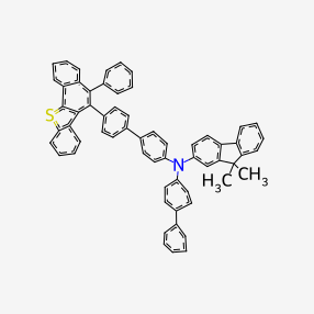 CC1(C)c2ccccc2-c2ccc(N(c3ccc(-c4ccccc4)cc3)c3ccc(-c4ccc(-c5c(-c6ccccc6)c6ccccc6c6sc7ccccc7c56)cc4)cc3)cc21